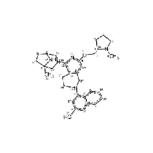 CN1CCC[C@H]1COc1nc2c(c(N3CC4CCC(C)(C3)N4)n1)CCN(c1cc(O)cc3ccccc13)C2